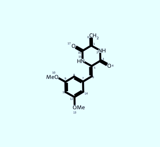 C=c1[nH]c(=O)c(=Cc2cc(OC)cc(OC)c2)[nH]c1=O